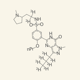 [2H]C([2H])(CC1CCCN1C)NS(=O)(=O)c1ccc(OCCC)c(-c2nc3c(C([2H])([2H])C([2H])([2H])C([2H])([2H])[2H])nn(C)c3c(=O)[nH]2)c1